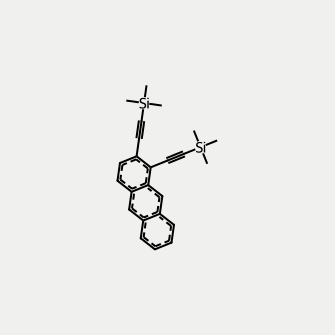 C[Si](C)(C)C#Cc1ccc2cc3ccccc3cc2c1C#C[Si](C)(C)C